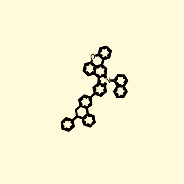 c1ccc(C2Cc3ccc(-c4ccc5c(c4)c4c6cccc7c6c(cc4n5-c4cccc5ccccc45)-c4ccccc4O7)cc3-c3ccccc32)cc1